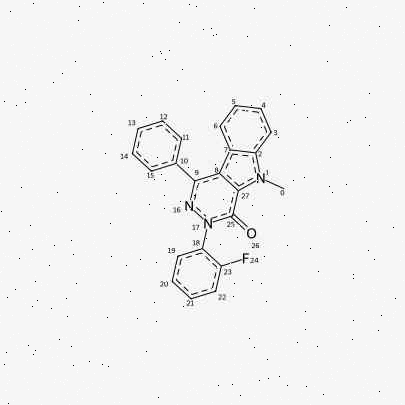 Cn1c2ccccc2c2c(-c3ccccc3)nn(-c3ccccc3F)c(=O)c21